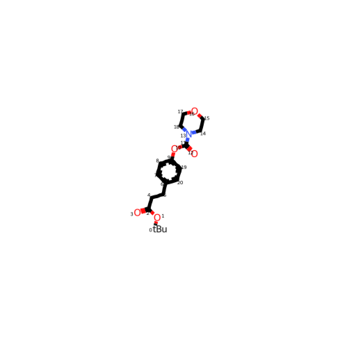 CC(C)(C)OC(=O)CCc1ccc(OC(=O)N2CCOCC2)cc1